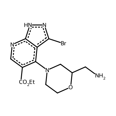 CCOC(=O)c1cnc2[nH]nc(Br)c2c1N1CCOC(CN)C1